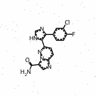 NC(=O)c1cnc2ccc(-c3[nH]cnc3-c3ccc(F)c(Cl)c3)nn12